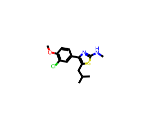 CNc1nc(-c2ccc(OC)c(Cl)c2)c(CC(C)C)s1